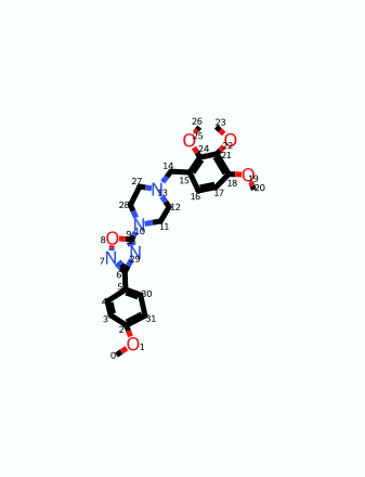 COc1ccc(-c2noc(N3CCN(Cc4ccc(OC)c(OC)c4OC)CC3)n2)cc1